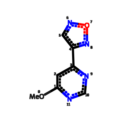 COc1cc(-c2cnon2)ncn1